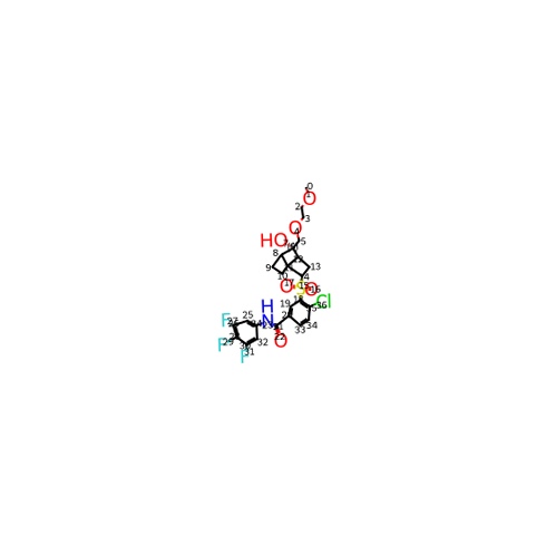 COCCOC[C@]1(O)C2CCC23C1CC3S(=O)(=O)c1cc(C(=O)Nc2cc(F)c(F)c(F)c2)ccc1Cl